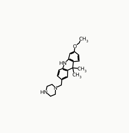 CCOc1ccc2c(c1)Nc1ccc(CN3CCNCC3)cc1C2(C)C